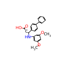 COc1cc(NC(CC(=O)O)c2ccc(-c3ccccc3)cc2)cc(OC)c1